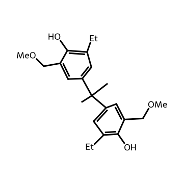 CCc1cc(C(C)(C)c2cc(CC)c(O)c(COC)c2)cc(COC)c1O